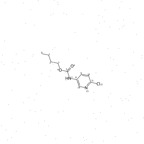 CCCCOC(=O)Nc1ccc(Cl)nc1